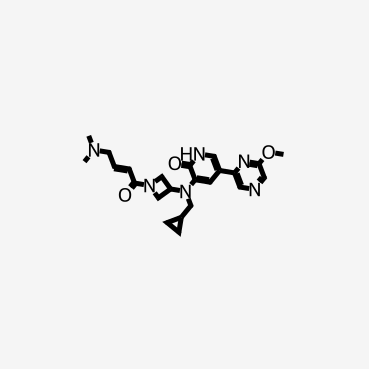 COc1cncc(-c2c[nH]c(=O)c(N(CC3CC3)C3CN(C(=O)C=CCN(C)C)C3)c2)n1